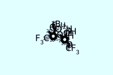 [2H]C([2H])([2H])Oc1cc(OC(F)(F)F)ccc1Oc1ccc(C(F)(F)F)c(C)c1C(=O)OC(C)(C)C